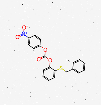 O=C(Oc1ccc([N+](=O)[O-])cc1)Oc1ccccc1SCc1ccccc1